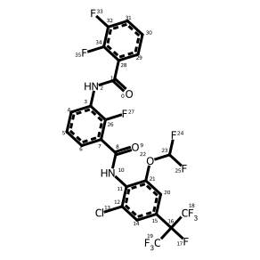 O=C(Nc1cccc(C(=O)Nc2c(Cl)cc(C(F)(C(F)(F)F)C(F)(F)F)cc2OC(F)F)c1F)c1cccc(F)c1F